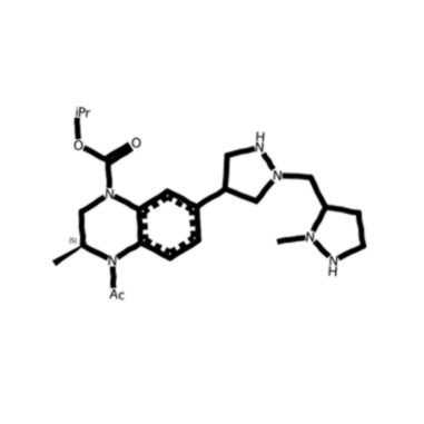 CC(=O)N1c2ccc(C3CNN(CC4CCNN4C)C3)cc2N(C(=O)OC(C)C)C[C@@H]1C